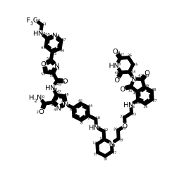 NC(=O)c1nn(-c2ccc(CNCC3CCCCN3CCOCCNc3cccc4c3C(=O)N(C3CCC(=O)NC3=O)C4=O)cc2)cc1NC(=O)c1coc(-c2ccnc(NCC(F)(F)F)c2)n1